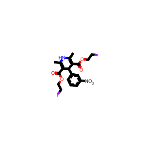 CC1=C(C(=O)OCCI)C(c2cccc([N+](=O)[O-])c2)C(C(=O)OCCI)=C(C)N1